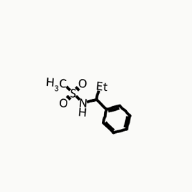 CCC(NS(C)(=O)=O)c1ccccc1